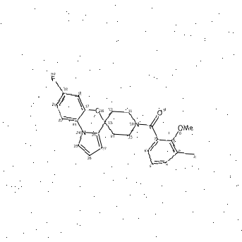 COc1c(C)cccc1C(=O)N1CCC2(CC1)Oc1cc(F)ccc1-n1cccc12